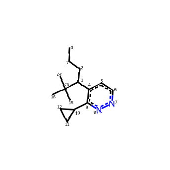 CCCC(c1ccnnc1C1CC1)C(C)(C)C